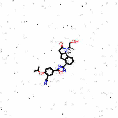 CC(C)Oc1ccc(-c2nc(-c3cccc4c3CC3CC(=O)N([C@H](C)CO)[C@H]43)no2)cc1C#N